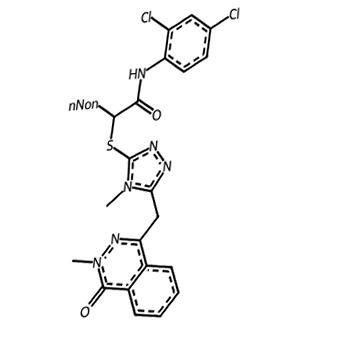 CCCCCCCCCC(Sc1nnc(Cc2nn(C)c(=O)c3ccccc23)n1C)C(=O)Nc1ccc(Cl)cc1Cl